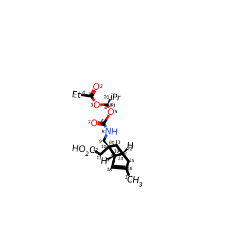 CCC(=O)O[C@H](OC(=O)NC[C@@]1(CC(=O)O)C[C@@H]2CC(C)=C[C@@H]21)C(C)C